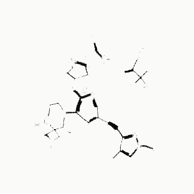 Cc1cn(C)nc1C#Cc1cnc(O[C@@H]2CN[C@H](C(=O)O)C2)c(N2CCOC3(COC3)[C@@H]2C)c1.O=C(O)C(F)(F)F